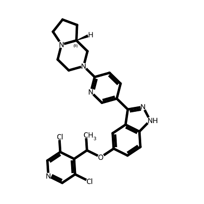 CC(Oc1ccc2[nH]nc(-c3ccc(N4CCN5CCC[C@@H]5C4)nc3)c2c1)c1c(Cl)cncc1Cl